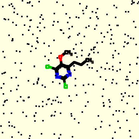 CCCc1nc(Cl)nc(Cl)c1OC